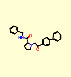 O=C(CN1CCC[C@H]1C(=O)NCc1ccccc1)c1ccc(-c2ccccc2)cc1